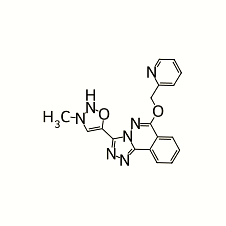 CN1C=C(c2nnc3c4ccccc4c(OCc4ccccn4)nn23)ON1